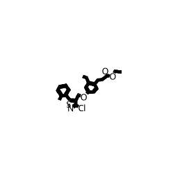 CCOC(=O)CCc1ccc(OCc2c(Cl)nsc2-c2ccccc2C)cc1CC